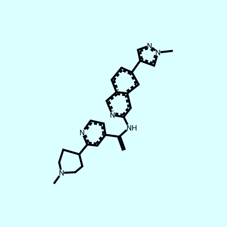 C=C(Nc1cc2cc(-c3cnn(C)c3)ccc2cn1)c1ccnc(C2CCN(C)CC2)c1